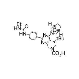 CCNC(=O)Nc1ccc(-c2nc3c(c(N4C[C@H]5CC[C@@H](C4)O5)n2)C(C(C)(C)C)CN(C(=O)O)C3)cc1